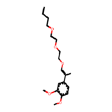 CCCCOCCOCCOC=C(C)c1ccc(OC)c(OC)c1